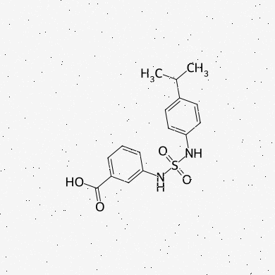 CC(C)c1ccc(NS(=O)(=O)Nc2cccc(C(=O)O)c2)cc1